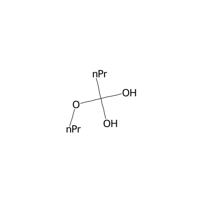 CCCOC(O)(O)CCC